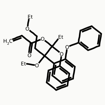 C=CC(=O)OC(CC)(Oc1ccccc1)C(CCOCC)(OCC)c1ccccc1Oc1ccccc1